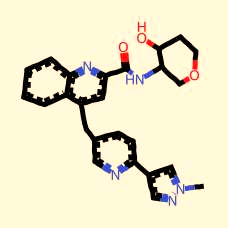 Cn1cc(-c2ccc(Cc3cc(C(=O)NC4COCCC4O)nc4ccccc34)cn2)cn1